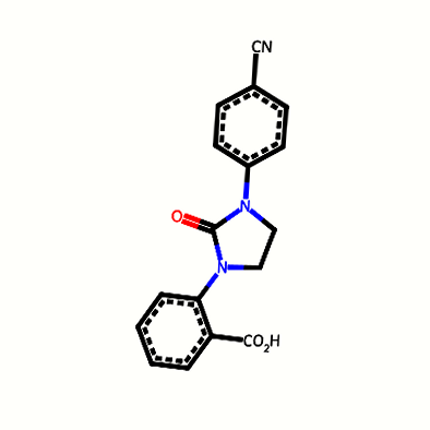 N#Cc1ccc(N2CCN(c3ccccc3C(=O)O)C2=O)cc1